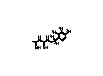 [2H]c1ccc(C([2H])([2H])CNC(=N)NC(C)=N)c([2H])c1[2H]